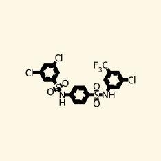 O=S(=O)(Nc1cc(Cl)cc(C(F)(F)F)c1)c1ccc(NS(=O)(=O)c2cc(Cl)cc(Cl)c2)cc1